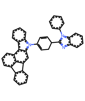 C1=CC(c2nc3ccccc3n2-c2ccccc2)CC=C1n1c2ccccc2c2c3cccc4c3c(cc21)-c1ccccc1-4